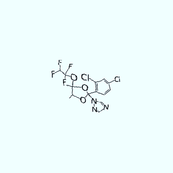 CC1OC(c2ccc(Cl)cc2Cl)(n2cncn2)OC1(C)OC(F)(F)C(F)F